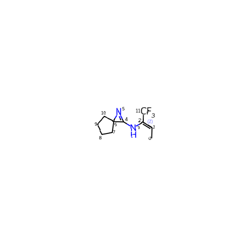 C/C=C(\NC1=NC12CCCC2)C(F)(F)F